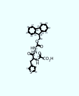 O=C(NNC(=O)C(Cc1ccsc1)NC(=O)C(=O)O)OCC1c2ccccc2-c2ccccc21